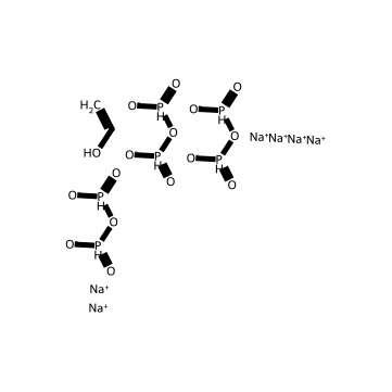 C=CO.O=[PH]([O-])O[PH](=O)[O-].O=[PH]([O-])O[PH](=O)[O-].O=[PH]([O-])O[PH](=O)[O-].[Na+].[Na+].[Na+].[Na+].[Na+].[Na+]